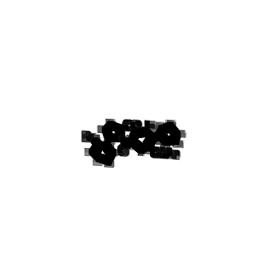 COc1cc(C(=O)N2[C@@H](c3ccccc3Br)CC[C@H]2C(=O)O)ccc1-c1ccccc1